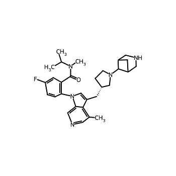 Cc1cncc2c1c(C[C@@H]1CCN(C3C4CNCC3C4)C1)cn2-c1ccc(F)cc1C(=O)N(C)C(C)C